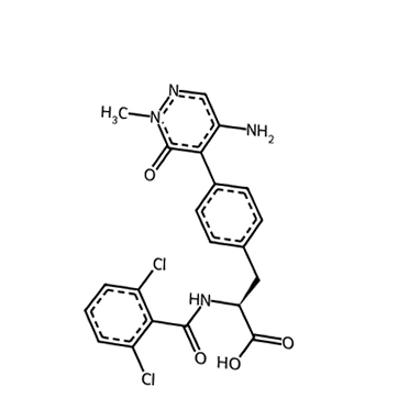 Cn1ncc(N)c(-c2ccc(C[C@H](NC(=O)c3c(Cl)cccc3Cl)C(=O)O)cc2)c1=O